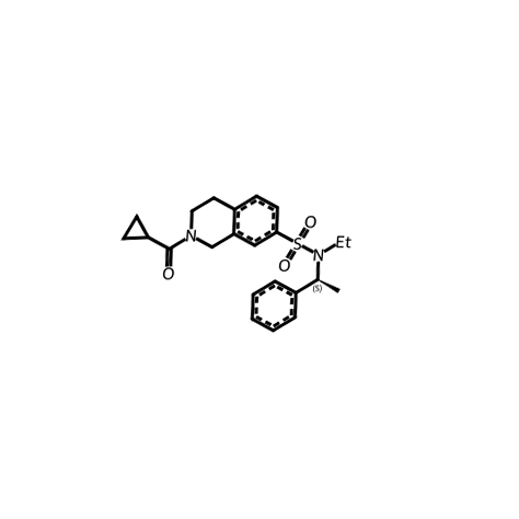 CCN([C@@H](C)c1ccccc1)S(=O)(=O)c1ccc2c(c1)CN(C(=O)C1CC1)CC2